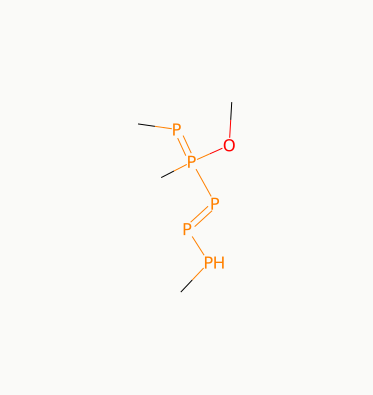 COP(C)(P=PPC)=PC